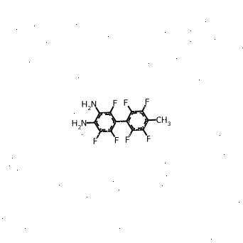 Cc1c(F)c(F)c(-c2c(F)c(N)c(N)c(F)c2F)c(F)c1F